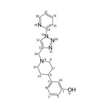 Oc1cccc(C2CCN(Cc3cn(-c4ccccn4)nn3)CC2)c1